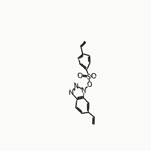 C=Cc1ccc(S(=O)(=O)On2nnc3ccc(C=C)cc32)cc1